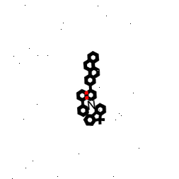 CC1(C)c2ccccc2-c2c(N(c3ccc(-c4ccc5c(ccc6c7ccccc7ccc56)c4)cc3)c3ccccc3-c3ccccc3)cccc21